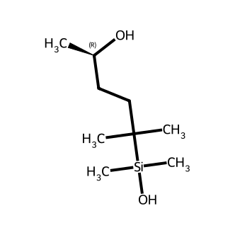 C[C@@H](O)CCC(C)(C)[Si](C)(C)O